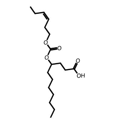 CC/C=C\CCOC(=O)OC(CCCCCCC)CCC(=O)O